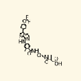 Cc1cc(Nc2nccn3c(-c4ccc(OC(F)F)cc4)cnc23)ccc1C(=O)NCCOCCNC(=O)CCC(=O)O